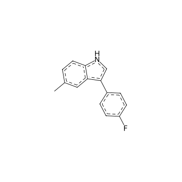 Cc1ccc2[nH]cc(-c3ccc(F)cc3)c2c1